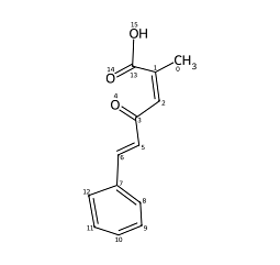 CC(=CC(=O)/C=C/c1ccccc1)C(=O)O